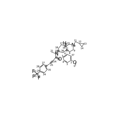 COc1cccc([C@@]23CCN(CC4CC4)C[C@H]2CC[C@@H](N(C)C(=O)C#Cc2ccc(C(F)(F)F)cc2)C3)c1